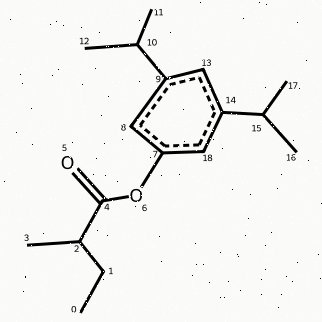 CCC(C)C(=O)Oc1cc(C(C)C)cc(C(C)C)c1